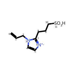 C=CCN1C=C[N+]=C1CCCS(=O)(=O)O